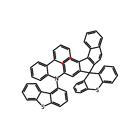 c1ccc(-c2ccccc2N(c2ccc3c(c2)C2(c4ccccc4Sc4ccccc42)c2ccc4ccccc4c2-3)c2cccc3sc4ccccc4c23)cc1